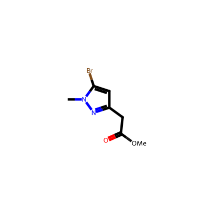 COC(=O)Cc1cc(Br)n(C)n1